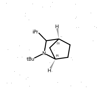 CC(C)C1[C@H]2CC[C@H](C2)N1C(C)(C)C